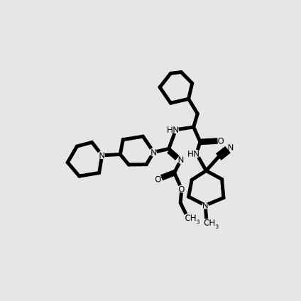 CCOC(=O)N=C(NC(CC1CCCCC1)C(=O)NC1(C#N)CCN(C)CC1)N1CCC(N2CCCCC2)CC1